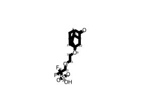 O=C1C2CC3CC1CC(OCCOCC(F)(F)S(=O)(=O)O)(C3)C2